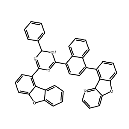 c1ccc(C2N=C(c3cccc4oc5ccccc5c34)N=C(c3ccc(-c4cccc5oc6cccnc6c45)c4ccccc34)N2)cc1